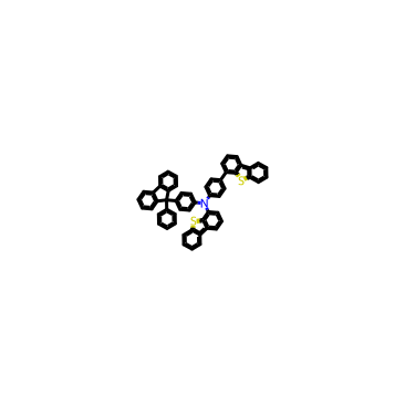 c1ccc(C2(c3ccc(N(c4ccc(-c5cccc6c5sc5ccccc56)cc4)c4cccc5c4sc4ccccc45)cc3)c3ccccc3-c3ccccc32)cc1